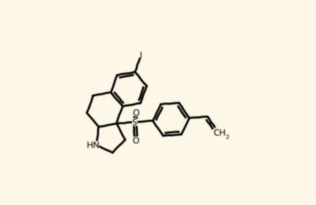 C=Cc1ccc(S(=O)(=O)C23CCNC2CCc2cc(I)ccc23)cc1